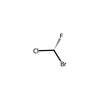 F[C@@H](Cl)Br